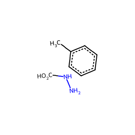 Cc1ccccc1.NNC(=O)O